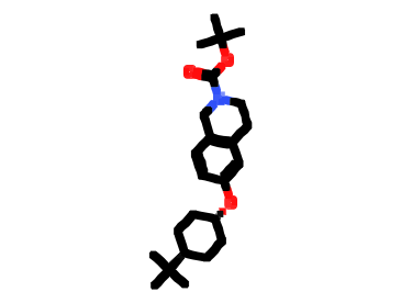 CC(C)(C)OC(=O)N1CCc2cc(O[C@H]3CC[C@H](C(C)(C)C)CC3)ccc2C1